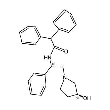 O=C(N[C@H](CN1CC[C@H](O)C1)c1ccccc1)C(c1ccccc1)c1ccccc1